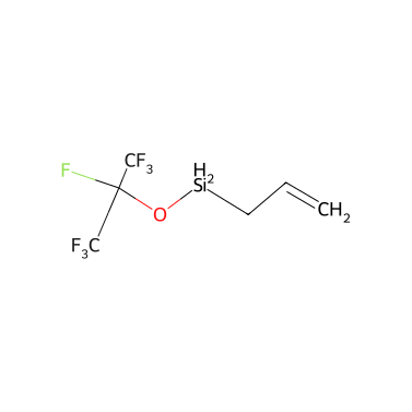 C=CC[SiH2]OC(F)(C(F)(F)F)C(F)(F)F